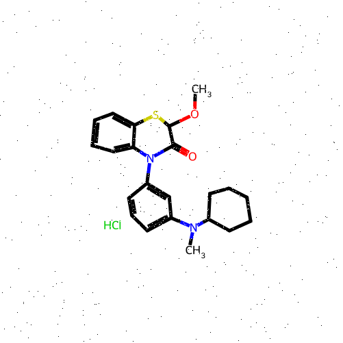 COC1Sc2ccccc2N(c2cccc(N(C)C3CCCCC3)c2)C1=O.Cl